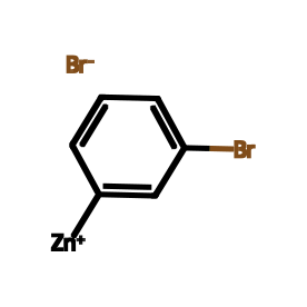 [Br-].[Zn+][c]1cccc(Br)c1